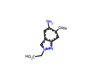 COc1cc2nn(CC(=O)O)cc2cc1N